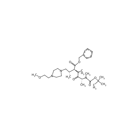 COCCN1CCN(C[C@@H](C)[C@@H](C(=O)OCc2ccccc2)N(C)C(=O)[C@@H](C)N(C)C(=O)OC(C)(C)C)CC1